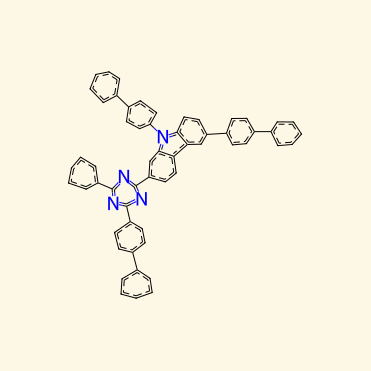 c1ccc(-c2ccc(-c3ccc4c(c3)c3ccc(-c5nc(-c6ccccc6)nc(-c6ccc(-c7ccccc7)cc6)n5)cc3n4-c3ccc(-c4ccccc4)cc3)cc2)cc1